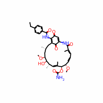 CCc1ccc(C(=O)NC2=C3C[C@@H](C)C[C@H](OC)[C@H](O)[C@@H](C)/C=C(\C)[C@H](OC(N)=O)[C@@H](OC)/C=C\C=C(/C)C(=O)NC(=CC2=O)C3=O)cc1